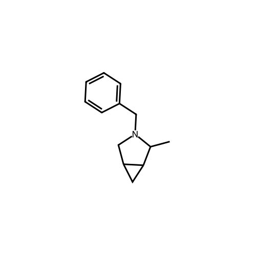 CC1C2CC2CN1Cc1ccccc1